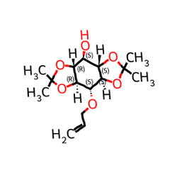 C=CCO[C@@H]1[C@H]2OC(C)(C)O[C@@H]2[C@@H](O)[C@@H]2OC(C)(C)O[C@@H]12